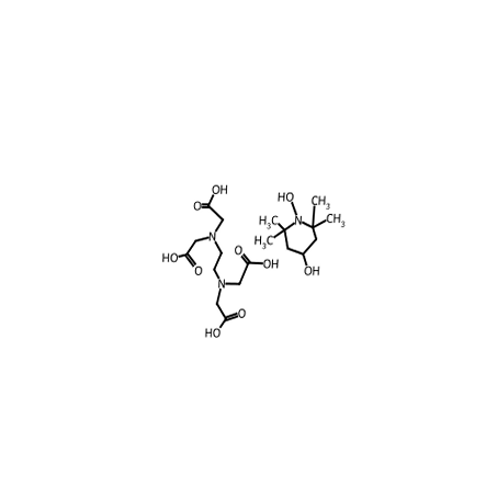 CC1(C)CC(O)CC(C)(C)N1O.O=C(O)CN(CCN(CC(=O)O)CC(=O)O)CC(=O)O